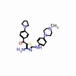 CN1CCN(c2ccc(Nc3nc(N)c(C(=O)c4ccc(N5CCCC5)cc4)s3)cc2)CC1